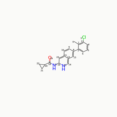 Cc1c(Cl)cccc1-c1ccc2c(c1)=CNC(NC(=O)C1CC1)C=2